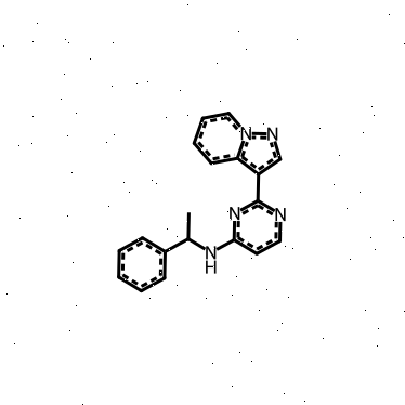 CC(Nc1ccnc(-c2cnn3ccccc23)n1)c1ccccc1